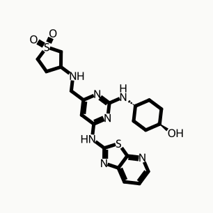 O=S1(=O)CCC(NCc2cc(Nc3nc4cccnc4s3)nc(N[C@H]3CC[C@H](O)CC3)n2)C1